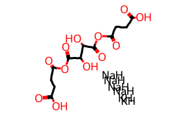 O=C(O)CCC(=O)OC(=O)C(O)C(O)C(=O)OC(=O)CCC(=O)O.[KH].[KH].[NaH].[NaH].[NaH].[NaH]